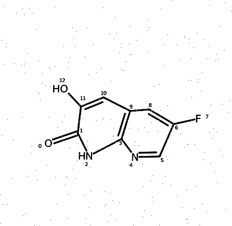 O=c1[nH]c2ncc(F)cc2cc1O